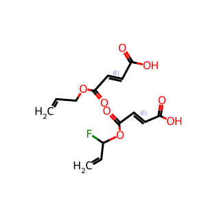 C=CC(F)OC(=O)/C=C/C(=O)O.C=CCOC(=O)/C=C/C(=O)O